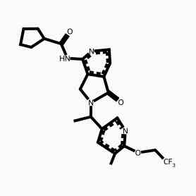 Cc1cc(C(C)N2Cc3c(ccnc3NC(=O)C3CCCC3)C2=O)cnc1OCC(F)(F)F